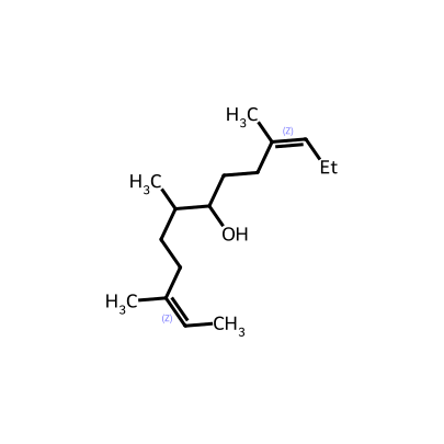 C/C=C(/C)CCC(C)C(O)CC/C(C)=C\CC